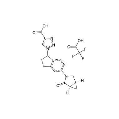 O=C(O)C(F)(F)F.O=C(O)c1cn(C2CCc3cc(N4C[C@H]5C[C@H]5C4=O)ncc32)nn1